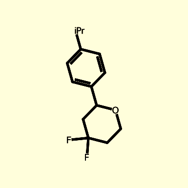 CC(C)c1ccc(C2CC(F)(F)CCO2)cc1